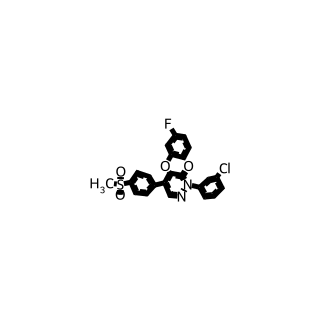 CS(=O)(=O)c1ccc(-c2cnn(-c3cccc(Cl)c3)c(=O)c2Oc2cccc(F)c2)cc1